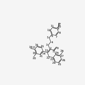 C=C1C(CCCc2ccc(F)cc2)=C(c2ccc(C)c(C)c2)Cc2cccc(C)c21